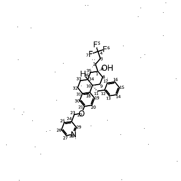 O[C@]1(CCC(F)(F)F)CC[C@@]2(Cc3ccccc3)c3ccc(OCc4cccnc4)cc3CC[C@@H]2C1